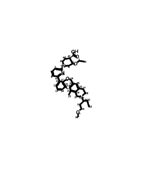 CCO[C@H]1CN(c2cccc(-c3cccc(Cl)c3OCc3cc(C)c4c(c3)CCN(C(CC)CCOC)C4)n2)CC[C@H]1C(=O)O